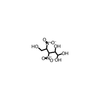 O=[N+]([O-])C(CO)C(C(O)C(O)O)[N+](=O)[O-]